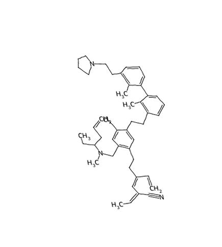 C=CCC(CC)N(C)Cc1cc(Cl)c(CCc2cccc(-c3cccc(CCN4CCCC4)c3C)c2C)cc1CC/C(C=C)=C/C(C#N)=C\C